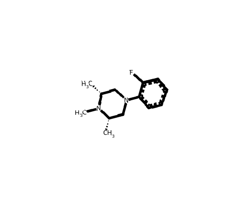 C[C@@H]1CN(c2ccccc2F)C[C@H](C)N1C